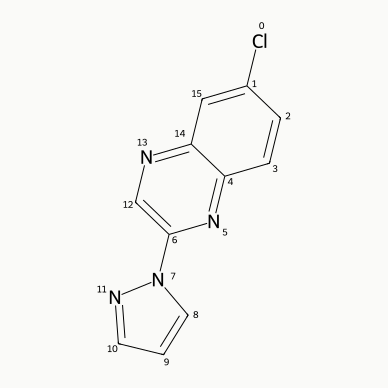 Clc1ccc2nc(-n3cccn3)cnc2c1